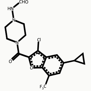 O=CNN1CCN(C(=O)c2oc3c(C(F)(F)F)cc(C4CC4)cc3c2Cl)CC1